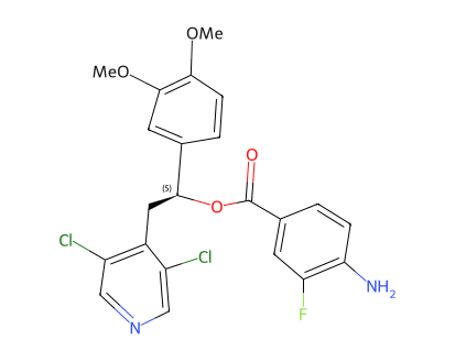 COc1ccc([C@H](Cc2c(Cl)cncc2Cl)OC(=O)c2ccc(N)c(F)c2)cc1OC